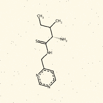 CCC(C)[C@H](N)C(=S)NCc1ccncn1